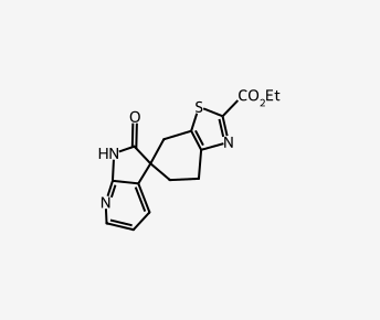 CCOC(=O)c1nc2c(s1)CC1(CC2)C(=O)Nc2ncccc21